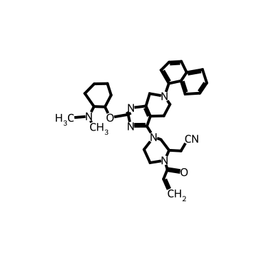 C=CC(=O)N1CCN(c2nc(OC3CCCCC3N(C)C)nc3c2CCN(c2cccc4ccccc24)C3)CC1CC#N